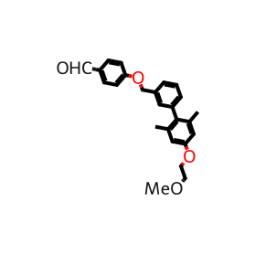 COCCOc1cc(C)c(-c2cccc(COc3ccc(C=O)cc3)c2)c(C)c1